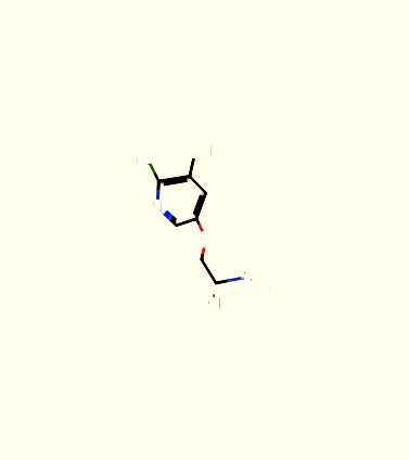 Cc1cc(OC[C@@H](C)N)cnc1Cl